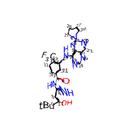 CC(C)(C)/C(O)=C/C(=N)NC(=O)c1ccc(C(F)(F)F)c(Nc2ncnc3cnc(N4CCCC4)nc23)c1